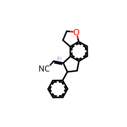 N#C/C=C1/c2c(ccc3c2CCO3)CC1c1ccccc1